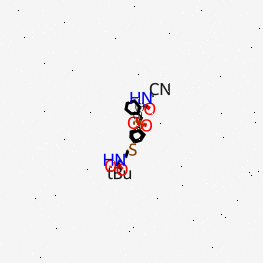 CC(C)(C)OC(=O)NCCSc1ccc(S(=O)(=O)C[C@H]2CCCC[C@@H]2C(=O)NCC#N)cc1